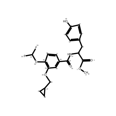 COC(=O)C(Cc1ccc(O)cc1)NC(=O)c1ccc(OC(F)F)c(OCC2CC2)c1